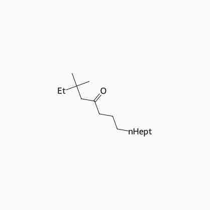 CCCCCCCCCCC(=O)CC(C)(C)CC